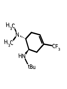 CN(C)[C@@H]1CC=C(C(F)(F)F)C[C@H]1NC(C)(C)C